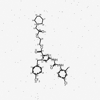 Cc1cc(Cl)ccc1NC(=O)Nc1cn(Cc2ccc(C(F)(F)F)cc2)c(C(=O)OCCOC(=O)CN2CCCCC2)n1